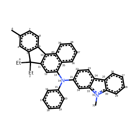 CCC1(CC)c2cc(C)ccc2-c2c1cc(N(c1ccccc1)c1ccc3c4ccccc4n(C)c3c1)c1ccccc21